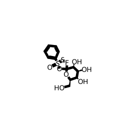 O=S(=S)(OC1([18F])O[C@H](CO)[C@@H](O)[C@H](O)[C@H]1O)c1ccccc1